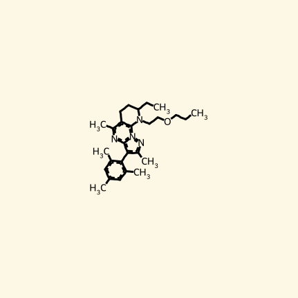 CCCOCCN1c2c(c(C)nc3c(-c4c(C)cc(C)cc4C)c(C)nn23)CCC1CC